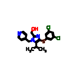 CC(C)c1c(Sc2cc(Cl)cc(Cl)c2)nc(CO)n1Cc1ccncc1